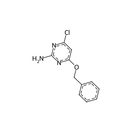 Nc1nc(Cl)cc(OCc2ccccc2)n1